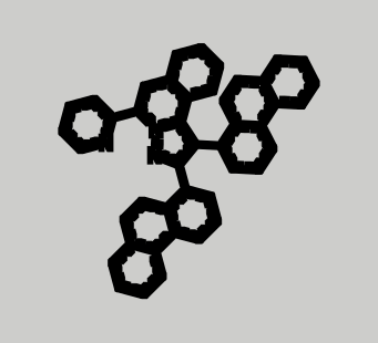 c1ccc(-c2cc3ccccc3c3c(-c4cccc5c4ccc4ccccc45)c(-c4cccc5c4ccc4ccccc45)nn23)nc1